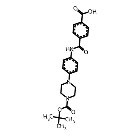 CC(C)(C)OC(=O)N1CCN(c2ccc(NC(=O)c3ccc(C(=O)O)cc3)cc2)CC1